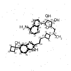 CN(C[C@H]1O[C@@H](n2cnc3c(N)ncnc32)[C@H](O)[C@@H]1O)[C@H]1C[C@H](CCc2nc3cc(C4(C)CCC4)ccc3[nH]2)C1